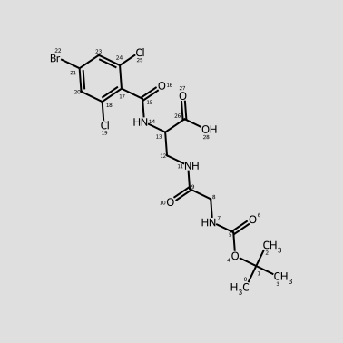 CC(C)(C)OC(=O)NCC(=O)NCC(NC(=O)c1c(Cl)cc(Br)cc1Cl)C(=O)O